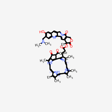 CCc1c(C)/c2[nH]/c1=C\C1NC3=C(C4=N/C(=C\c5[nH]c(c(C)c5C)/C=2)[C@H](C)C4CCC(=O)OC2(CC)C(=O)OCc4c2cc2n(c4=O)Cc4cc5cc(O)c(CN(C)C)cc5nc4-2)C(C(=O)OC)C(=O)C3=C1C